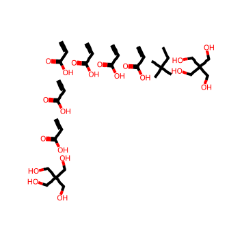 C=CC(=O)O.C=CC(=O)O.C=CC(=O)O.C=CC(=O)O.C=CC(=O)O.C=CC(=O)O.CCC(C)(C)C.OCC(CO)(CO)CO.OCC(CO)(CO)CO